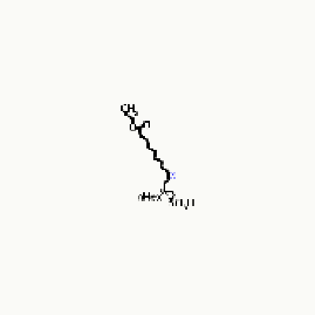 C=CCOC(=O)CCCCCCC/C=C\C[C@@H](CCCCCC)OS(=O)(=O)O